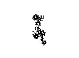 O=C(Cn1cc(-c2ccccc2Cl)c2c(OCCN3CCCC3)ncnc21)N1CCC(n2c(=O)[nH]c3ncccc32)CC1